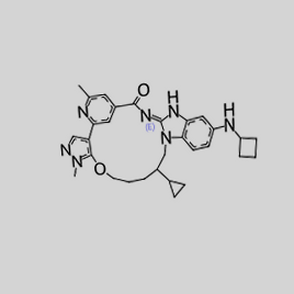 Cc1cc2cc(n1)-c1cnn(C)c1OCCCC(C1CC1)CN1/C(=N/C2=O)Nc2cc(NC3CCC3)ccc21